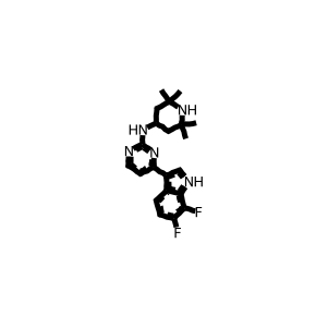 CC1(C)CC(Nc2nccc(-c3c[nH]c4c(F)c(F)ccc34)n2)CC(C)(C)N1